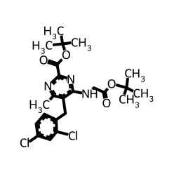 Cc1nc(C(=O)OC(C)(C)C)nc(NCC(=O)OC(C)(C)C)c1Cc1ccc(Cl)cc1Cl